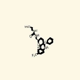 O=C(NCCO)NC[C@H]1CC[C@@H]2[C@H](O1)c1cc(C(F)(F)F)ccc1N[C@H]2C1C=CC=CC1